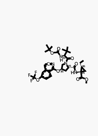 CC[C@@H]1C[C@]1(NC(=O)[C@@H]1C[C@@H](Oc2nccc3cc(OC(F)(F)F)ccc23)CN1C(=O)[C@@H](NC(=O)OC(C)(C)C)C(C)(C)C)C(=O)OC